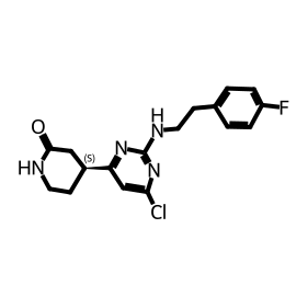 O=C1C[C@@H](c2cc(Cl)nc(NCCc3ccc(F)cc3)n2)CCN1